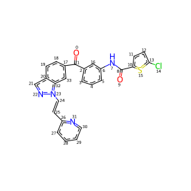 O=C(c1cccc(NC(=O)c2ccc(Cl)s2)c1)c1ccc2cnn(C=Cc3ccccn3)c2c1